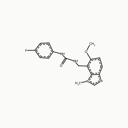 COc1ccc2ncn(C)c2c1CNC(=O)Nc1ccc(F)cc1